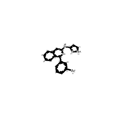 CC(=O)c1cccc(-c2nc(Nc3cc[nH]n3)cc3ccccc23)c1